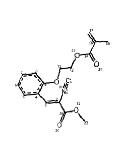 [C-]#[N+]/C(=C\c1ccccc1OCCOC(=O)C(=C)C)C(=O)OC